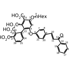 CCCCCCOc1cc(Oc2ccc(C=CC(=O)c3ccccc3)cc2)c(-c2cccc(C(=O)O)c2C(=O)O)c(C(=O)O)c1C(=O)O